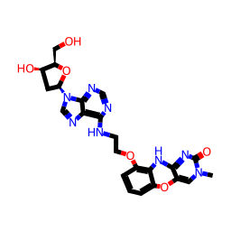 Cn1cc2c(nc1=O)Nc1c(OCCNc3ncnc4c3ncn4[C@H]3C[C@@H](O)[C@@H](CO)O3)cccc1O2